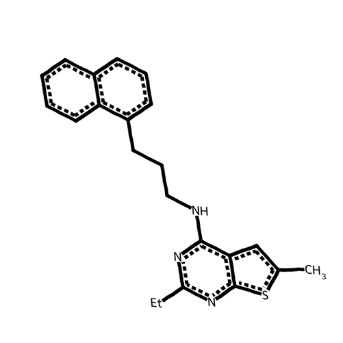 CCc1nc(NCCCc2cccc3ccccc23)c2cc(C)sc2n1